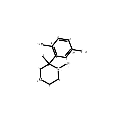 CC(C)N1CCOCC1(C)c1cc(F)ccc1F